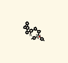 Cc1ccc(-c2nc(-c3ccc(C)cc3)nc(-c3cccc(-c4cccc(-c5ccc(-c6ccccc6-c6ccc7c8c(cccc68)-c6ccccc6-7)c(C#N)c5)c4)c3)n2)cc1